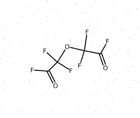 O=C(F)C(F)(F)OC(F)(F)C(=O)F